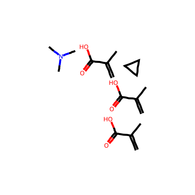 C1CC1.C=C(C)C(=O)O.C=C(C)C(=O)O.C=C(C)C(=O)O.CN(C)C